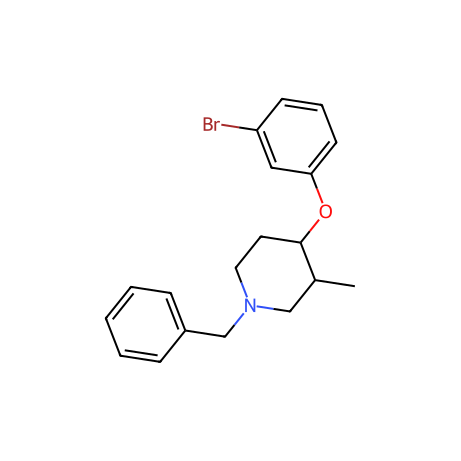 CC1CN(Cc2ccccc2)CCC1Oc1cccc(Br)c1